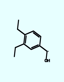 CCc1ccc([CH]O)cc1CC